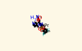 CC(C)c1nc(CCOC(N)=O)n(Cc2ccncc2)c1S(=O)(=O)Oc1cc(F)cc(F)c1